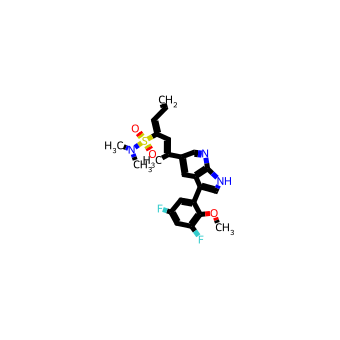 C=C/C=C(\C=C(/C)c1cnc2[nH]cc(-c3cc(F)cc(F)c3OC)c2c1)S(=O)(=O)N(C)C